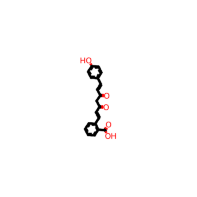 O=C(/C=C/c1ccc(O)cc1)CC(=O)/C=C/c1ccccc1C(=O)O